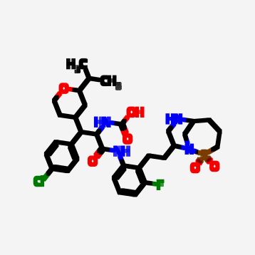 CC(C)C1CC(C(c2ccc(Cl)cc2)C(NC(=O)O)C(=O)Nc2cccc(F)c2CCC2CNC3CCCS(=O)(=O)N2C3)CCO1